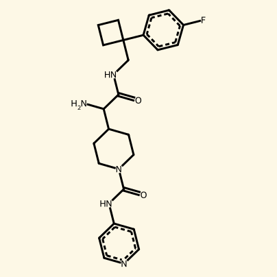 NC(C(=O)NCC1(c2ccc(F)cc2)CCC1)C1CCN(C(=O)Nc2ccncc2)CC1